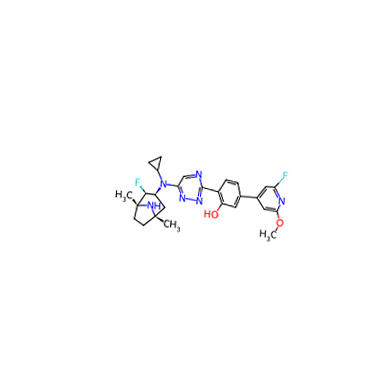 COc1cc(-c2ccc(-c3ncc(N(C4CC4)[C@H]4C[C@]5(C)CC[C@@](C)(N5)[C@H]4F)nn3)c(O)c2)cc(F)n1